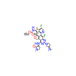 CN1CC[C@@H](Nc2nc(N3CC[C@H](N(C)C)C3)nc3c(F)c(-c4ncc(F)c5sc(NC(=O)OC(C)(C)C)c(C#N)c45)c4c(c23)COC4)C1=O